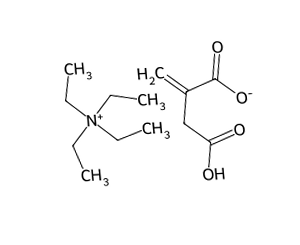 C=C(CC(=O)O)C(=O)[O-].CC[N+](CC)(CC)CC